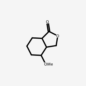 COC1CCCC2C(=O)OCC12